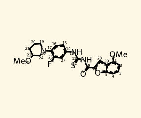 COc1cccc2oc(C(=O)NC(=S)Nc3ccc(N4CCCC(OC)C4)c(F)c3)cc12